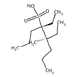 CCC[C@](C)(CC)[C@](CC)(CCC)S(=O)(=O)O